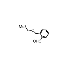 CSCOCc1ccccc1C=O